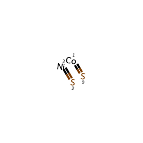 [S]=[Co].[S]=[Ni]